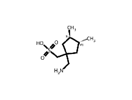 C[C@@H]1CC(CN)(CS(=O)(=O)O)C[C@H]1C